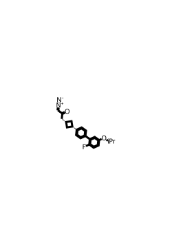 CC(C)Oc1ccc(F)c(-c2ccc([C@H]3C[C@@H](CC(=O)C=[N+]=[N-])C3)cc2)c1